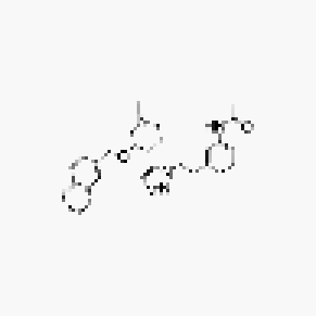 CC(=O)NC1=CCCC(CCn2nncc2[C@H]2CCNC[C@@H]2OCc2ccc3ccccc3c2)=C1